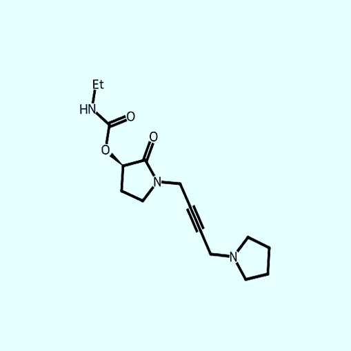 CCNC(=O)O[C@@H]1CCN(CC#CCN2CCCC2)C1=O